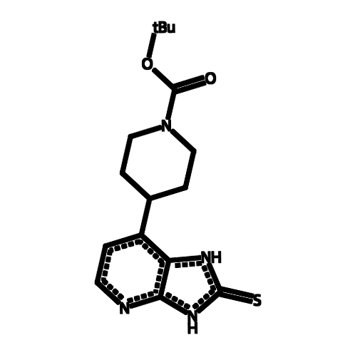 CC(C)(C)OC(=O)N1CCC(c2ccnc3[nH]c(=S)[nH]c23)CC1